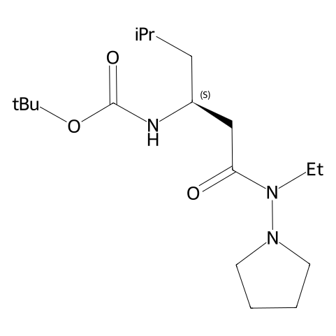 CCN(C(=O)C[C@H](CC(C)C)NC(=O)OC(C)(C)C)N1CCCC1